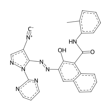 [C-]#[N+]c1cnn(-c2ncccn2)c1/N=N/c1cc2ccccc2c(C(=O)Nc2ccccc2C)c1O